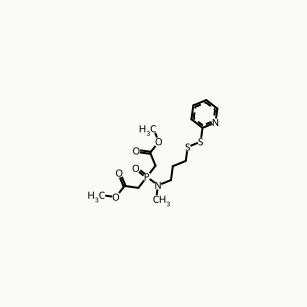 COC(=O)CP(=O)(CC(=O)OC)N(C)CCCSSc1ccccn1